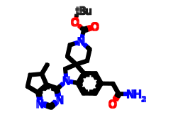 CC1CCc2ncnc(N3CC4(CCN(C(=O)OC(C)(C)C)CC4)c4cc(CC(N)=O)ccc43)c21